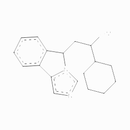 COC(CC1c2ccccc2-c2cncn21)C1CCCCC1